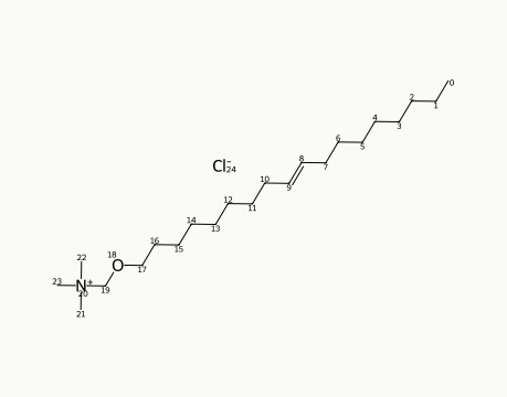 CCCCCCCCC=CCCCCCCCCOC[N+](C)(C)C.[Cl-]